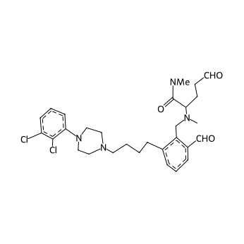 CNC(=O)C(CCC=O)N(C)Cc1c(C=O)cccc1CCCCN1CCN(c2cccc(Cl)c2Cl)CC1